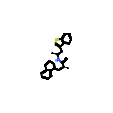 C=C(N[C@@H](C)Cc1csc2ccccc12)[C@H](C)Cc1cccc2ccccc12